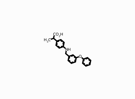 CC(C(=O)O)c1ccc(NCc2cccc(Oc3ccccc3)c2)cc1